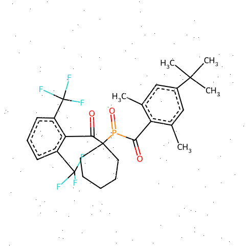 Cc1cc(C(C)(C)C)cc(C)c1C(=O)[P](=O)C1(C(=O)c2c(C(F)(F)F)cccc2C(F)(F)F)CCCCC1